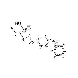 CCN(CCOc1ccc(Sc2ccccc2)cc1)C(=O)O